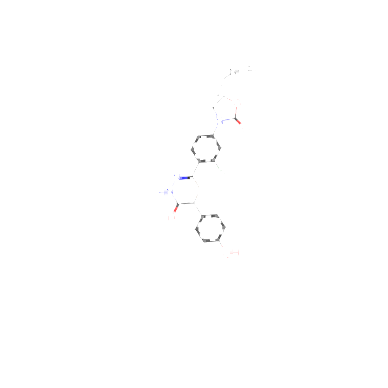 CC(=O)NC[C@H]1CN(c2ccc(C3=NNC(=O)C(c4ccc(O)cc4)S3)c(F)c2)C(=O)O1